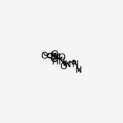 COc1cc(C)c(S(=O)(=O)N(C)CC(=O)NCC(=O)N(C)CC2CCN(CCN(C)C)C2)c(C)c1